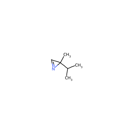 CC(C)C1(C)C=N1